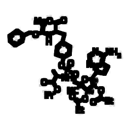 CCC(=O)O[C@H]1[C@H](c2ccc3c(N)ncnn23)O[C@](C#N)(COP(=O)(NC(C)C(=O)OC(C)C)Oc2ccc(CC(NC(=O)OCc3ccccc3)C(=O)OC)cc2)[C@H]1OC(=O)CC